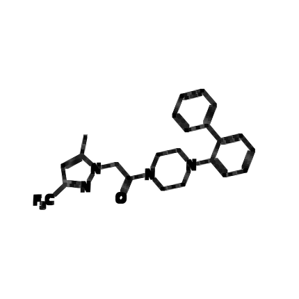 Cc1cc(C(F)(F)F)nn1CC(=O)N1CCN(c2ccccc2-c2ccccc2)CC1